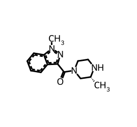 C[C@@H]1CN(C(=O)c2nn(C)c3ccccc23)CCN1